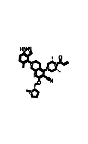 C=CC(=O)N1[C@H](C)CN(c2c(C#N)c(OC[C@@H]3CCCN3C)nc3c2CCN(c2c(C)ccc4[nH]ncc24)C3)C[C@@H]1C